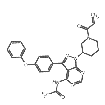 C=CC(=O)N1CCC[C@@H](n2nc(-c3ccc(Oc4ccccc4)cc3)c3c(NC(=O)C(F)(F)F)ncnc32)C1